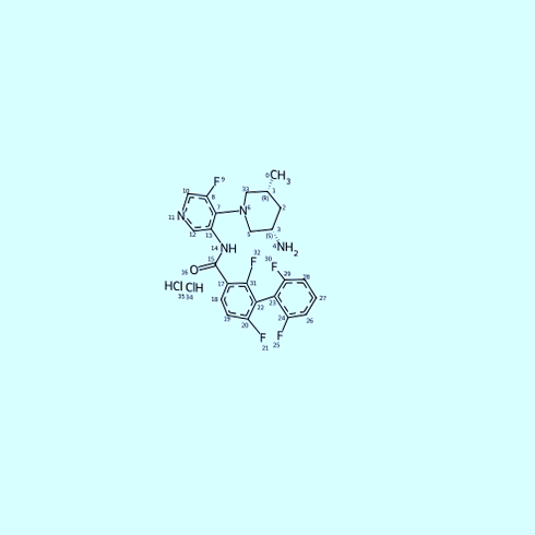 C[C@@H]1C[C@H](N)CN(c2c(F)cncc2NC(=O)c2ccc(F)c(-c3c(F)cccc3F)c2F)C1.Cl.Cl